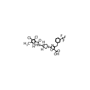 Cc1[nH]c(C(=O)NC2[C@H]3CN(c4nc(Cc5cccc(C(F)(F)F)c5)c(C(=O)O)o4)C[C@@H]23)c(Cl)c1Cl